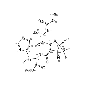 COC(=O)C(NC(=O)[C@@H]1[C@@H]2[C@H](CN1C(=O)[C@@H](NC(=O)OC(C)(C)C)C(C)(C)C)C2(C)C)C(C)c1ccccn1